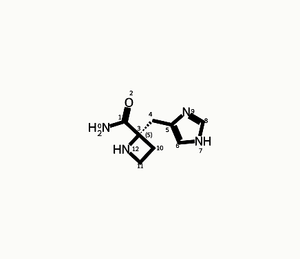 NC(=O)[C@@]1(Cc2c[nH]cn2)CCN1